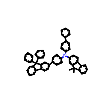 CC1(C)c2ccccc2-c2ccc(N(c3ccc(-c4ccccc4)cc3)c3ccc(-c4ccc5c(c4)C(c4ccccc4)(c4ccccc4)c4ccccc4-5)cc3)cc21